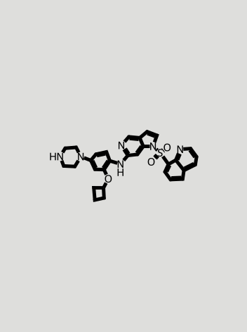 O=S(=O)(c1cccc2cccnc12)n1ccc2cnc(Nc3ccc(N4CCNCC4)cc3OC3CCC3)cc21